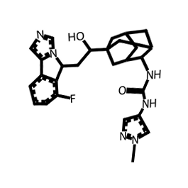 Cn1cc(NC(=O)NC2C3CC4CC2CC(C(O)CC2c5c(F)cccc5-c5cncn52)(C4)C3)cn1